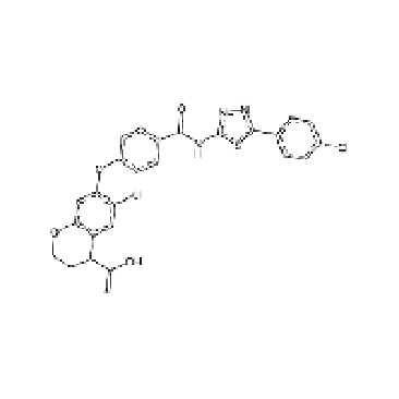 C=C(O)C1CCOc2cc(Oc3ccc(C(=O)Nc4nnc(-c5ccc(Cl)cc5)s4)cc3)c(Cl)cc21